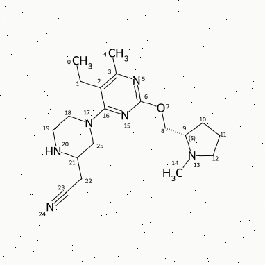 CCc1c(C)nc(OC[C@@H]2CCCN2C)nc1N1CCNC(CC#N)C1